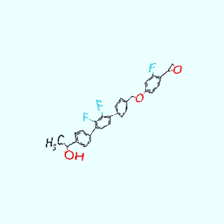 CC(O)c1ccc(-c2ccc(-c3ccc(COc4ccc(C5CO5)c(F)c4)cc3)c(F)c2F)cc1